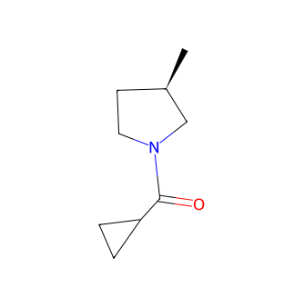 C[C@@H]1CCN(C(=O)C2CC2)C1